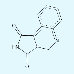 O=C1NC(=O)C2CN=c3ccccc3=C12